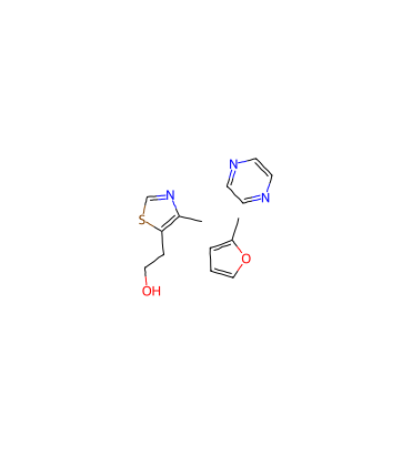 Cc1ccco1.Cc1ncsc1CCO.c1cnccn1